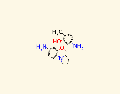 Cc1ccc(N)cc1O.Nc1ccc2c(c1)OCC1CCCN21